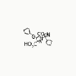 N#CC(c1ccccc1)n1nc(C(=O)O)c(OCc2ccccc2)c1C(=O)O